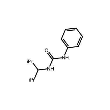 CC(C)C(NC(=O)Nc1ccccc1)C(C)C